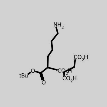 CC(C)(C)OC(=O)C(CCCCN)C(=O)O.O=C(O)CCC(=O)O